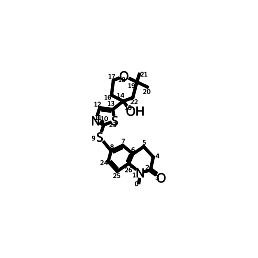 CN1C(=O)CCc2cc(Sc3ncc(C4(O)CCOC(C)(C)C4)s3)ccc21